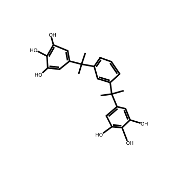 CC(C)(c1cccc(C(C)(C)c2cc(O)c(O)c(O)c2)c1)c1cc(O)c(O)c(O)c1